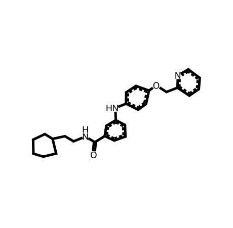 O=C(NCCC1CCCCC1)c1cccc(Nc2ccc(OCc3ccccn3)cc2)c1